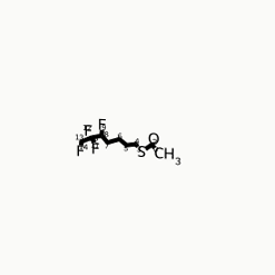 CC(=O)SCCCCC(F)C(F)(F)CF